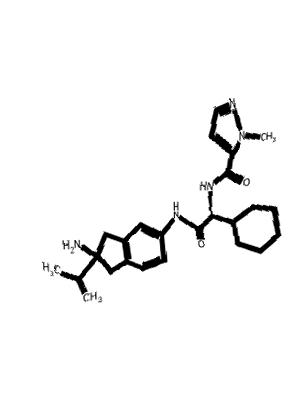 CC(C)C1(N)Cc2ccc(NC(=O)[C@@H](NC(=O)c3ccnn3C)C3CCCCC3)cc2C1